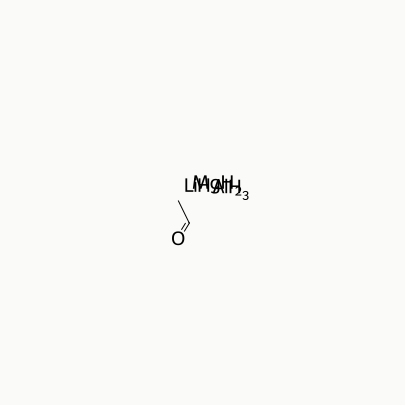 CC=O.[AlH3].[LiH].[MgH2]